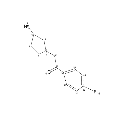 O=C(CN1CCC(S)C1)c1ccc(F)cc1